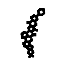 Cn1cc(-c2ccnc(-n3ncn4c5c(cc4c3=O)CC(C)(C)C5)c2CO)cc(Nc2ncc(N3CCOCC3)cn2)c1=O